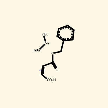 CCC[CH2][Sn][CH2]CCC.O=C(O)/C=C\C(=O)OCc1ccccc1